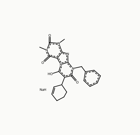 Cn1c(=O)c2c(nc3n(Cc4ccccc4)c(=O)c(C4C=CCCC4)c(O)n23)n(C)c1=O.[NaH]